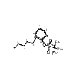 CCCCCc1ccccc1OS(=O)(=O)C(F)(F)F